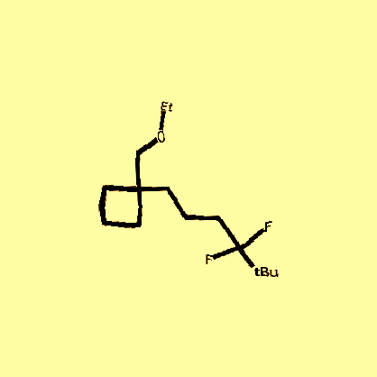 CCOCC1(CCCC(F)(F)C(C)(C)C)CCC1